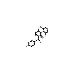 Nc1c(C(=O)c2ccc(F)cc2)ccc(=O)n1-c1c(F)cccc1F